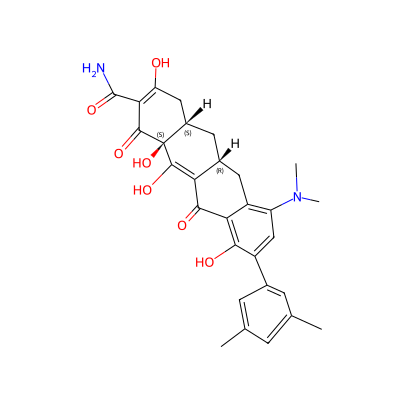 Cc1cc(C)cc(-c2cc(N(C)C)c3c(c2O)C(=O)C2=C(O)[C@]4(O)C(=O)C(C(N)=O)=C(O)C[C@@H]4C[C@@H]2C3)c1